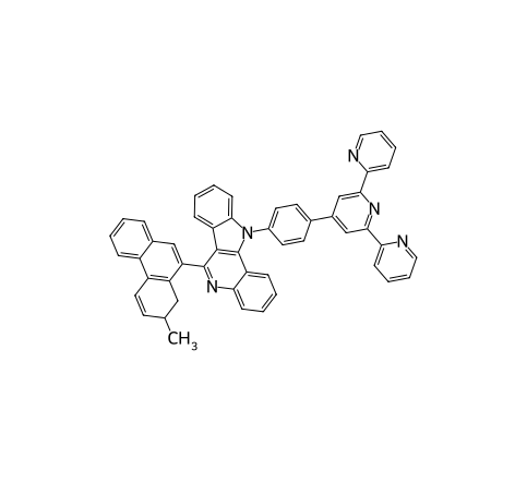 CC1C=Cc2c(c(-c3nc4ccccc4c4c3c3ccccc3n4-c3ccc(-c4cc(-c5ccccn5)nc(-c5ccccn5)c4)cc3)cc3ccccc23)C1